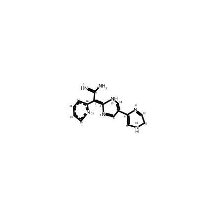 N=C(N)/C(=C1/N=CC(C2=CNCC=N2)=CN1)c1ccccn1